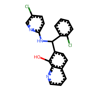 Oc1c(C(Nc2ccc(Cl)cn2)c2ccccc2Cl)ccc2cccnc12